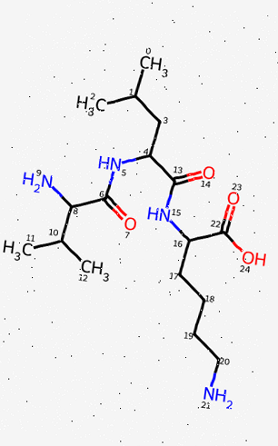 CC(C)CC(NC(=O)C(N)C(C)C)C(=O)NC(CCCCN)C(=O)O